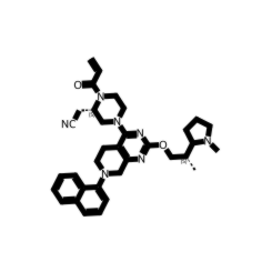 C=CC(=O)N1CCN(c2nc(OC[C@@H](C)C3CCCN3C)nc3c2CCN(c2cccc4ccccc24)C3)C[C@@H]1CC#N